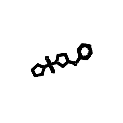 O=S(=O)(N1CCCC1)N1CCC(Oc2cc[c]cc2)C1